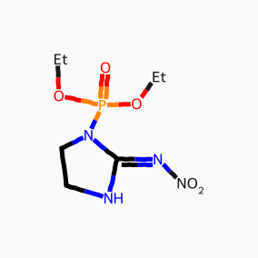 CCOP(=O)(OCC)N1CCNC1=N[N+](=O)[O-]